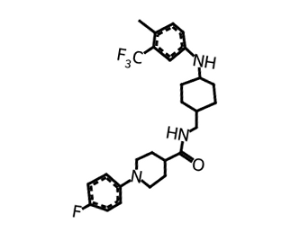 Cc1ccc(NC2CCC(CNC(=O)C3CCN(c4ccc(F)cc4)CC3)CC2)cc1C(F)(F)F